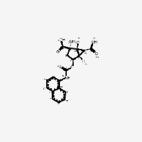 N[C@@]1(C(=O)O)C[C@H](OC(=O)Nc2cccc3ccccc23)[C@H]2[C@H](C(=O)O)[C@H]21